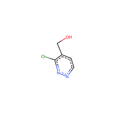 OCc1ccnnc1Cl